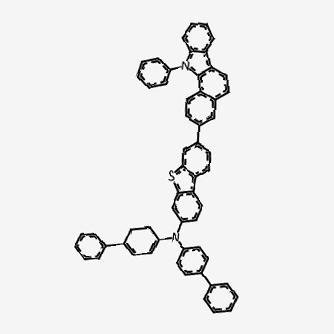 C1=C(c2ccccc2)CCC(N(c2ccc(-c3ccccc3)cc2)c2ccc3c(c2)sc2cc(-c4ccc5c(ccc6c7ccccc7n(-c7ccccc7)c56)c4)ccc23)=C1